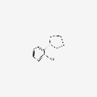 Sc1ccccc1C1CCCCC1